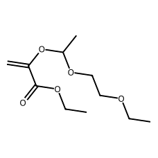 C=C(OC(C)OCCOCC)C(=O)OCC